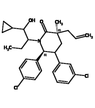 C=CC[C@@]1(C)CC(c2cccc(Cl)c2)[C@@H](c2ccc(Cl)cc2)N(C(CC)C(O)C2CC2)C1=O